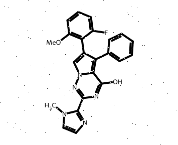 COc1cccc(F)c1-c1cn2nc(-c3nccn3C)nc(O)c2c1-c1ccccc1